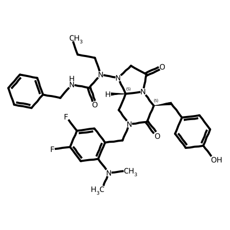 CCCN(C(=O)NCc1ccccc1)N1CC(=O)N2[C@@H](Cc3ccc(O)cc3)C(=O)N(Cc3cc(F)c(F)cc3N(C)C)C[C@@H]21